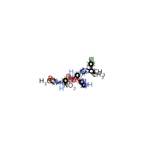 CC1(C)CCC(CN2CCN(c3ccc(C(=O)NS(=O)(=O)c4ccc(NCCN5CCP(C)(=O)CC5)c([N+](=O)[O-])c4)c(Oc4cnc5[nH]ccc5c4)c3)CC2)=C(c2ccc(Cl)cc2)C1